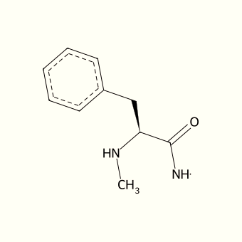 CN[C@@H](Cc1ccccc1)C([NH])=O